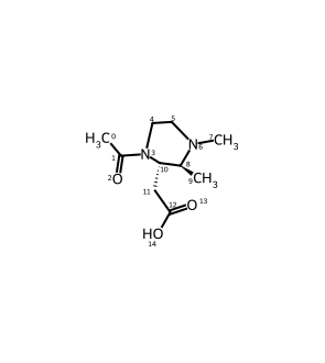 CC(=O)N1CCN(C)[C@@H](C)[C@@H]1CC(=O)O